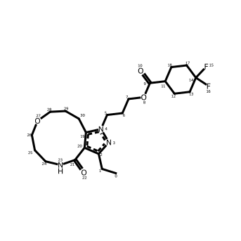 CCc1nn(CCCOC(=O)C2CCC(F)(F)CC2)c2c1C(=O)NCCCOCCC2